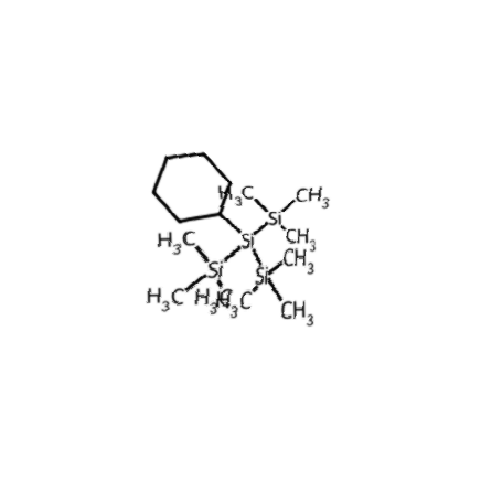 C[Si](C)(C)[Si](C1CCCCC1)([Si](C)(C)C)[Si](C)(C)C